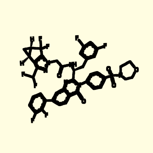 O=C(Cn1nc(C(F)F)c2c1C(F)(F)[C@@H]1C[C@H]21)N[C@@H](Cc1cc(F)cc(F)c1)c1nc2cc(-c3cccc(F)c3F)ccc2c(=O)n1-c1ccc(S(=O)(=O)N2CCOCC2)cc1